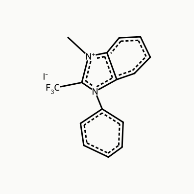 C[n+]1c(C(F)(F)F)n(-c2ccccc2)c2ccccc21.[I-]